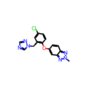 Cn1nc2ccc(Oc3ccc(Cl)cc3Cn3cncn3)cc2n1